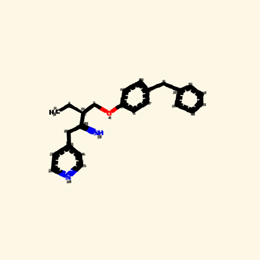 CC[C@@H](COc1ccc(Cc2ccccc2)cc1)C(=N)Cc1ccncc1